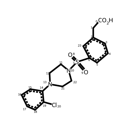 O=C(O)Cc1cccc(S(=O)(=O)N2CCN(c3ccccc3Cl)CC2)c1